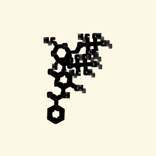 Cc1cn([C@@H]2O[C@@]3(CO[Si](C)(C)C(C)(C)C)O[C@H](C)O[C@H]2C3O[Si](C)(C)C(C)(C)C)c(=O)nc1NC(=O)c1ccccc1